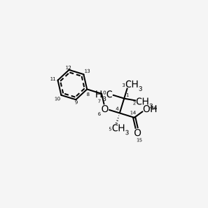 CC(C)(C)[C@](C)(OCc1ccccc1)C(=O)O